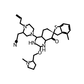 C=CCN1CCN(C2NC(OCC3CCCN3C)NC3C(=O)[C@@]4(CCC32)Cc2c(C)cccc2S4)CC1CC#N